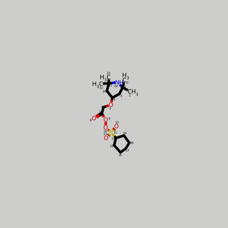 CC1(C)CC(OCC(=O)OOS(=O)(=O)C2CCCCC2)CC(C)(C)N1